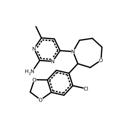 Cc1cc(N2CCCOCC2c2cc3c(cc2Cl)OCO3)nc(N)n1